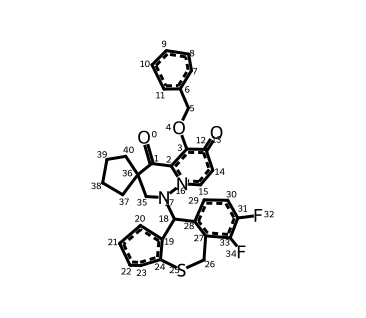 O=C1c2c(OCc3ccccc3)c(=O)ccn2N(C2c3ccccc3SCc3c2ccc(F)c3F)CC12CCCC2